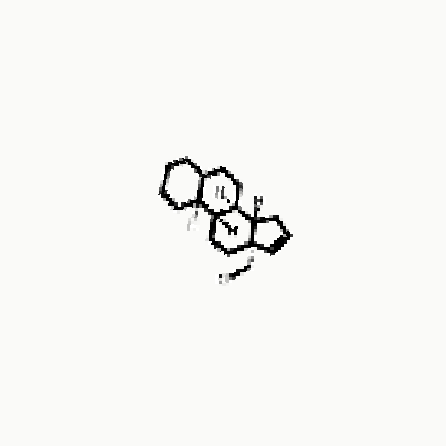 ClC[C@@]12C=CC[C@H]1[C@@H]1CCC3CCCC[C@@H]3[C@H]1CC2